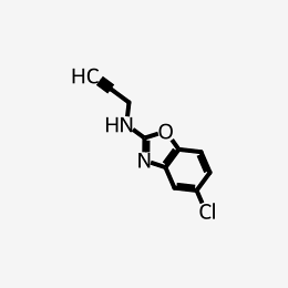 C#CCNc1nc2cc(Cl)ccc2o1